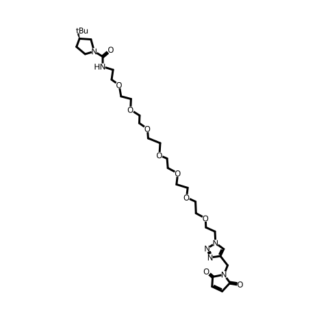 CC(C)(C)[C@@H]1CCN(C(=O)NCCOCCOCCOCCOCCOCCOCCOCCn2cc(CN3C(=O)C=CC3=O)nn2)C1